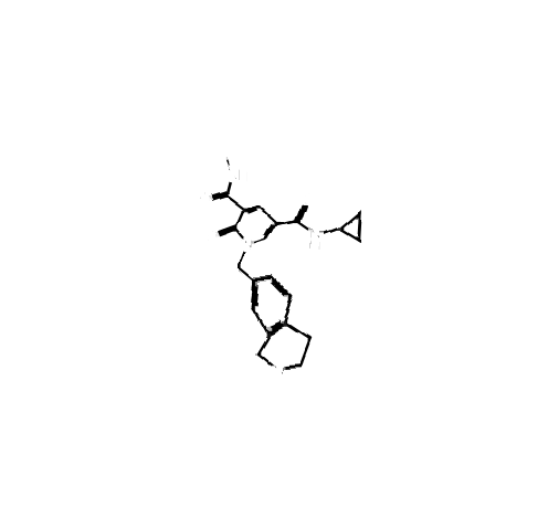 CNC(=O)c1cc(C(=O)NC2CC2)cn(Cc2ccc3c(c2)CNCC3)c1=O